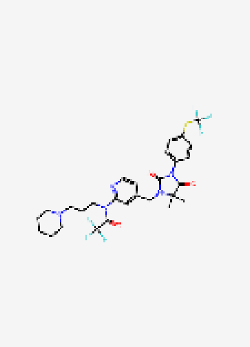 CC1(C)C(=O)N(c2ccc(SC(F)(F)F)cc2)C(=O)N1Cc1ccnc(N(CCCN2CCCCC2)C(=O)C(F)(F)F)c1